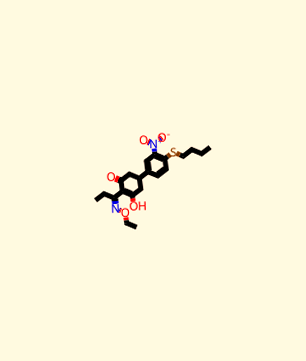 CCCCSc1ccc(C2CC(=O)C(/C(CC)=N\OCC)=C(O)C2)cc1[N+](=O)[O-]